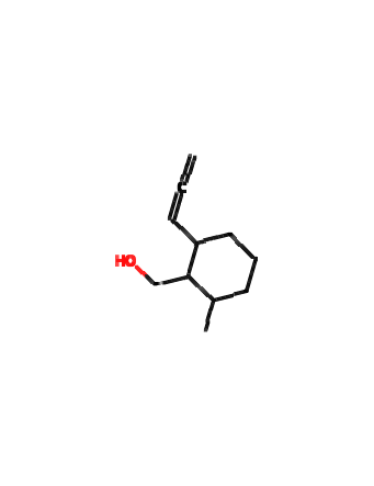 C=C=CC1CCCC(C)C1CO